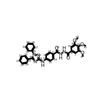 COc1cc(C(=O)NNC(=O)c2ccc(Nc3nc(-c4ccccc4)n(-c4ccccc4)n3)cc2)cc(OC)c1OC